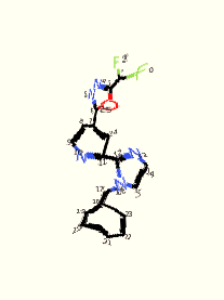 FC(F)c1nnc(-c2ccnc(-c3nccn3Cc3ccccc3)c2)o1